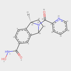 O=C(NO)c1ccc2c(c1)C1CC[C@H]2N1C(=O)c1ccccn1